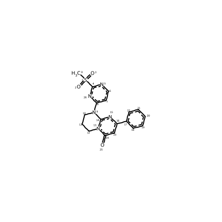 CS(=O)(=O)c1nccc(N2CCCn3c2nc(-c2ccccc2)cc3=O)n1